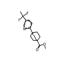 COC(=O)C12CCC(c3ccc(C(C)(F)F)cn3)(CC1)CC2